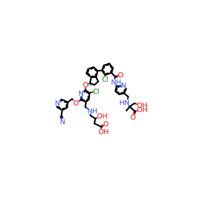 CC(CO)(NCc1ccc(NC(=O)c2cccc(-c3cccc4c3CC[C@@H]4Oc3nc(OCc4cncc(C#N)c4)c(CNCC(O)CC(=O)O)cc3Cl)c2Cl)nc1)C(=O)O